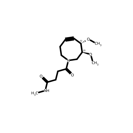 CNC(=O)CCC(=O)N1CCC#C[C@H](OC)[C@@H](OC)C1